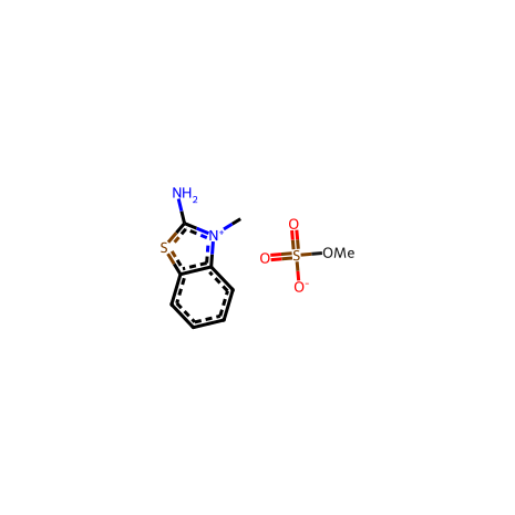 COS(=O)(=O)[O-].C[n+]1c(N)sc2ccccc21